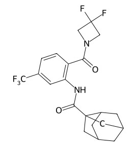 O=C(c1ccc(C(F)(F)F)cc1NC(=O)C12CC3CC(CC1C3)C2)N1CC(F)(F)C1